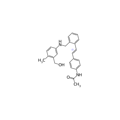 CC(=O)Nc1ccc(/C=C/c2ccccc2CNc2ccc(C)c(CO)c2)cc1